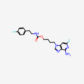 Nc1nc(F)cc2c1ncn2CCCCOC(=O)NCCc1ccc(F)cc1